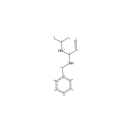 CC(C)NC(C=O)NCc1ccccc1